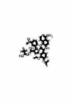 CCOc1cc(C(Nc2ccc3c(N)nccc3c2)C(=O)N2CCC(C(=O)O)C2c2cccc([N+](=O)[O-])c2)ccc1OC(C)C.O=C(O)C(F)(F)F